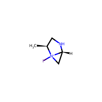 C[C@H]1CN[C@@H]2C[N+]12I